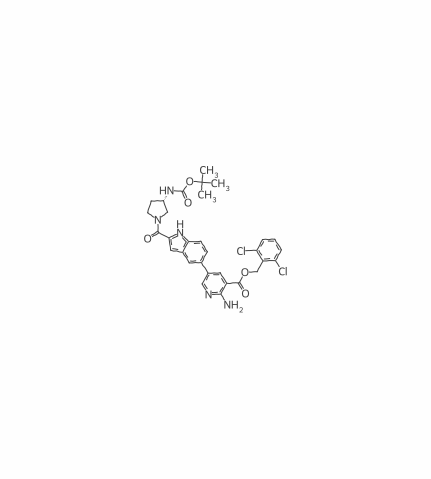 CC(C)(C)OC(=O)N[C@H]1CCN(C(=O)c2cc3cc(-c4cnc(N)c(C(=O)OCc5c(Cl)cccc5Cl)c4)ccc3[nH]2)C1